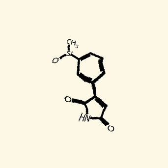 C[S+]([O-])c1cccc(C2=CC(=O)NC2=O)c1